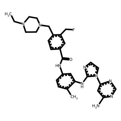 CCN1CCN(Cc2ccc(C(=O)Nc3ccc(C)c(Nc4nccn4-c4cc(N)ncn4)c3)cc2CF)CC1